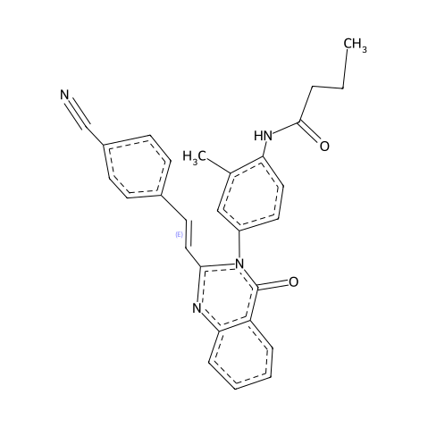 CCCC(=O)Nc1ccc(-n2c(/C=C/c3ccc(C#N)cc3)nc3ccccc3c2=O)cc1C